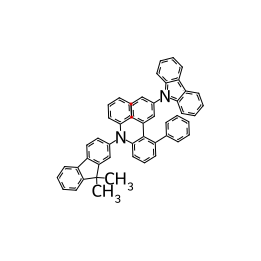 CC1(C)c2ccccc2-c2ccc(N(c3ccccc3)c3cccc(-c4ccccc4)c3-c3cccc(-n4c5ccccc5c5ccccc54)c3)cc21